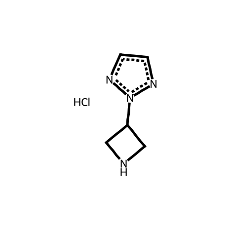 Cl.c1cnn(C2CNC2)n1